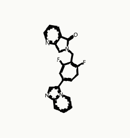 O=C1c2cccnc2CN1CC1=C(F)CC=C(c2cnc3ccccn23)C=C1F